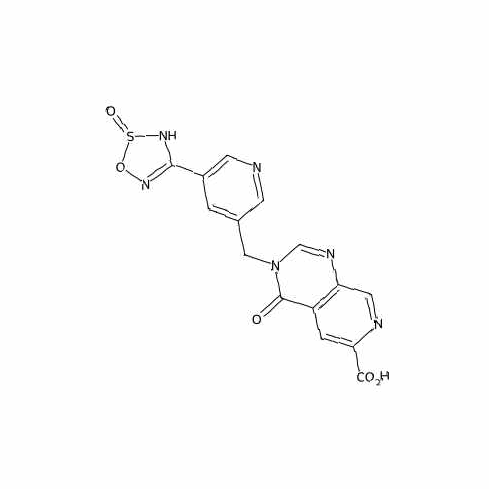 O=C(O)c1cc2c(=O)n(Cc3cncc(C4=NOS(=O)N4)c3)cnc2cn1